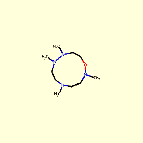 CN1[CH]CN(C)OCCN(C)N(C)CC1